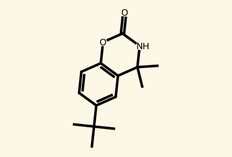 CC(C)(C)c1ccc2c(c1)C(C)(C)NC(=O)O2